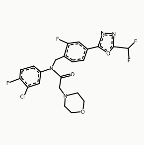 O=C(CN1CCOCC1)N(Cc1ccc(-c2nnc(C(F)F)o2)cc1F)c1ccc(F)c(Cl)c1